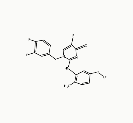 CCOc1ccc(C)c(Nc2nc(=O)c(F)cn2Cc2ccc(F)c(F)c2)c1